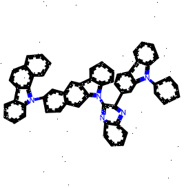 c1ccc(-n2c3ccccc3c3ccc(-c4nc5ccccc5nc4-n4c5ccccc5c5cc6cc(-n7c8ccccc8c8ccc9ccccc9c87)ccc6cc54)cc32)cc1